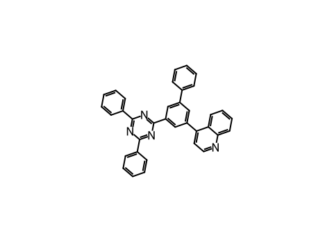 c1ccc(-c2cc(-c3nc(-c4ccccc4)nc(-c4ccccc4)n3)cc(-c3ccnc4ccccc34)c2)cc1